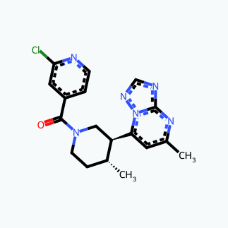 Cc1cc([C@@H]2CN(C(=O)c3ccnc(Cl)c3)CC[C@H]2C)n2ncnc2n1